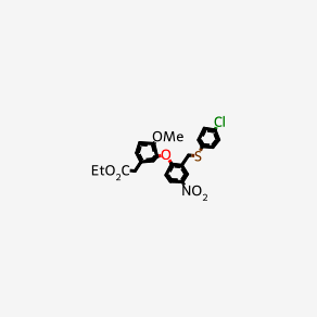 CCOC(=O)Cc1ccc(OC)c(Oc2ccc([N+](=O)[O-])cc2CSc2ccc(Cl)cc2)c1